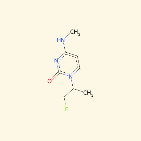 CNc1ccn(C(C)CF)c(=O)n1